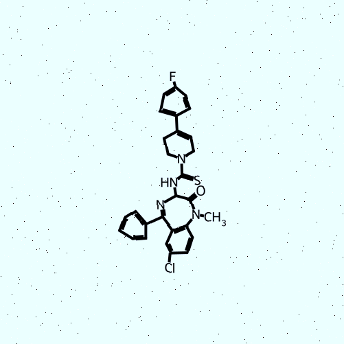 CN1C(=O)C(NC(=S)N2CC=C(c3ccc(F)cc3)CC2)N=C(c2ccccc2)c2cc(Cl)ccc21